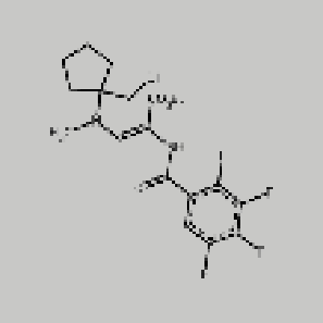 CCOC(=O)C(=CN(C)C1(CO)CCCC1)NC(=O)c1cc(F)c(F)c(F)c1F